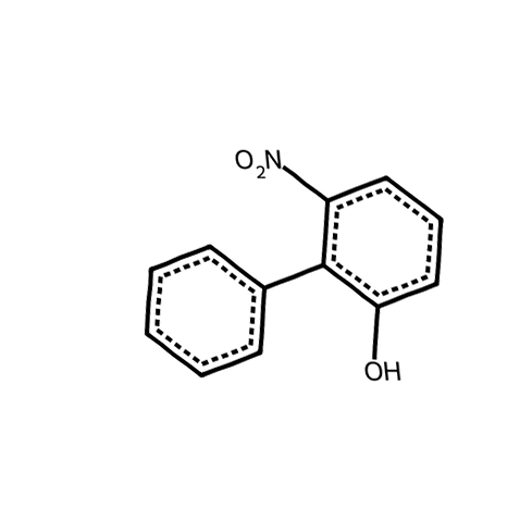 O=[N+]([O-])c1cccc(O)c1-c1ccccc1